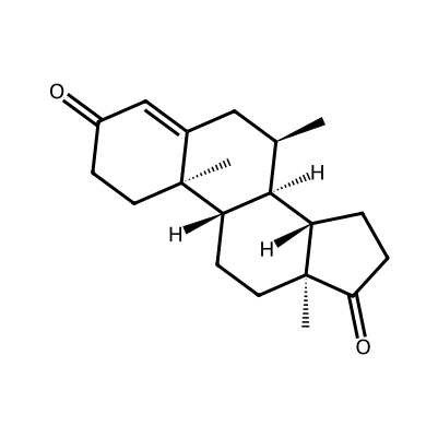 C[C@@H]1CC2=CC(=O)CC[C@]2(C)[C@H]2CC[C@]3(C)C(=O)CC[C@H]3[C@H]12